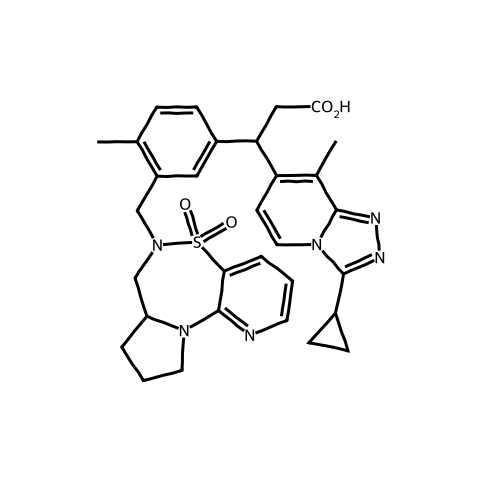 Cc1ccc(C(CC(=O)O)c2ccn3c(C4CC4)nnc3c2C)cc1CN1CC2CCCN2c2ncccc2S1(=O)=O